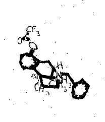 CC1(C)[C@H]2Cc3c(OS(=O)C(F)(F)F)cccc3[C@]1(C)CCN2Cc1ccccc1